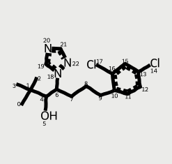 CC(C)(C)C(O)C(CCCc1ccc(Cl)cc1Cl)n1cncn1